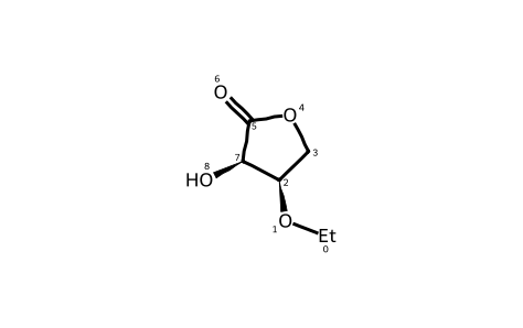 CCO[C@@H]1COC(=O)[C@@H]1O